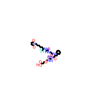 O=C(O)CCOCNC(=O)CNC(=O)C(Cc1ccccc1)NC(=O)CNC(=O)CNC(CCCCCN1C(=O)C=CC1=O)C(F)(F)F